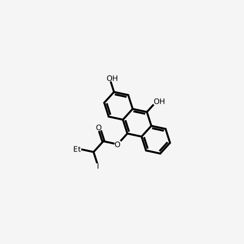 CCC(I)C(=O)Oc1c2ccccc2c(O)c2cc(O)ccc12